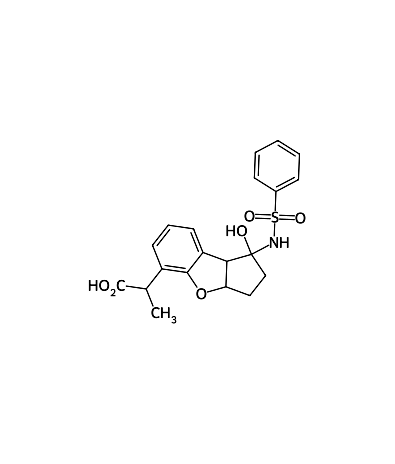 CC(C(=O)O)c1cccc2c1OC1CCC(O)(NS(=O)(=O)c3ccccc3)C21